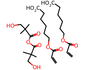 C=CC(=O)OCCCCCC(=O)O.C=CC(=O)OCCCCCC(=O)O.CC(C)(CO)C(=O)OC(=O)C(C)(C)CO